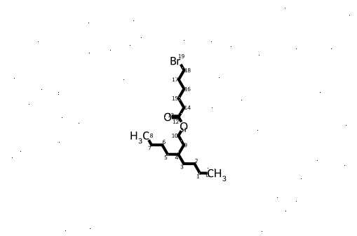 CCCCC(CCCC)CCOC(=O)CCCCCBr